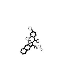 Nc1c(C(=O)c2ccc(Cl)cc2Cl)oc2cc3ccccc3cc12